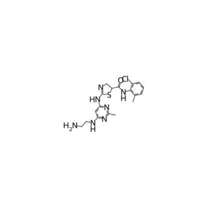 Cc1nc(NCCN)cc(NC2=NCC(C(=O)Nc3c(C)cccc3Cl)S2)n1